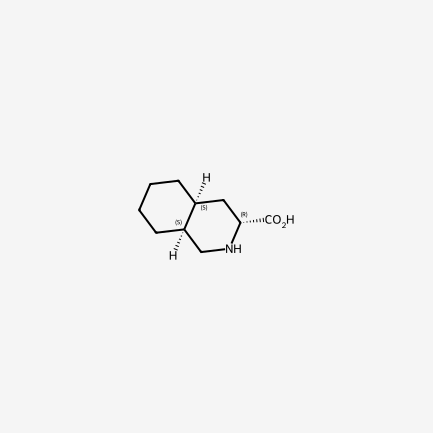 O=C(O)[C@H]1C[C@@H]2CCCC[C@@H]2CN1